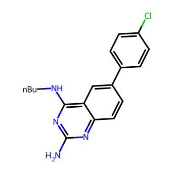 CCCCNc1nc(N)nc2ccc(-c3ccc(Cl)cc3)cc12